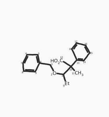 CCC(OCc1ccccc1)C(C)(C(=O)O)c1ccccc1